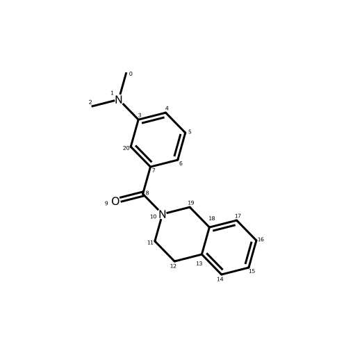 CN(C)c1cccc(C(=O)N2CCc3ccccc3C2)c1